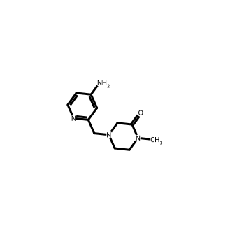 CN1CCN(Cc2cc(N)ccn2)CC1=O